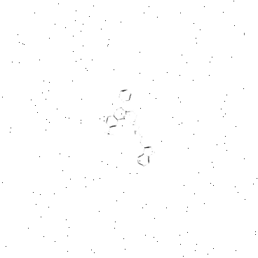 FC(F)(F)c1ccc2c(c1)[C@H]1O[C@@H](CNCCc3c[nH]c4ccccc34)CC[C@H]1[C@H](C1C=CC=CC1)N2